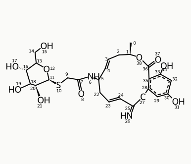 C[C@@H]1C/C=C/[C@H](NC(=O)CS[C@@H]2OC(CO)[C@@H](O)C(O)[C@@H]2O)C/C=C/C(=N)Cc2cc(O)cc(O)c2C(=O)O1